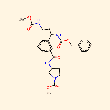 CC(C)(C)OC(=O)NCCC(NC(=O)OCc1ccccc1)c1cccc(C(=O)N[C@H]2CCN(C(=O)OC(C)(C)C)C2)c1